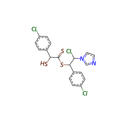 S=C(SC(c1ccc(Cl)cc1)C(Cl)n1ccnc1)C(S)c1ccc(Cl)cc1